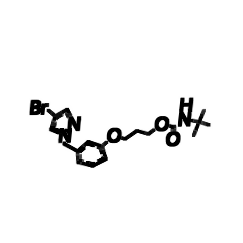 CC(C)(C)NC(=O)OCCCOc1cccc(Cn2cc(Br)cn2)c1